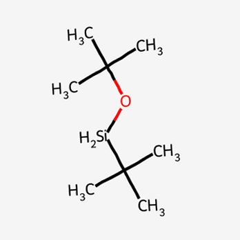 CC(C)(C)O[SiH2]C(C)(C)C